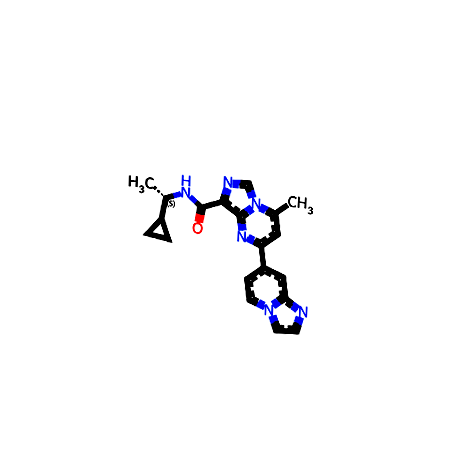 Cc1cc(-c2ccn3ccnc3c2)nc2c(C(=O)N[C@@H](C)C3CC3)ncn12